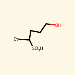 [CH2]CC(CCCO)S(=O)(=O)O